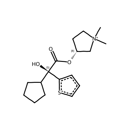 C[N+]1(C)CC[C@@H](OC(=O)[C@](O)(c2cccs2)C2CCCC2)C1